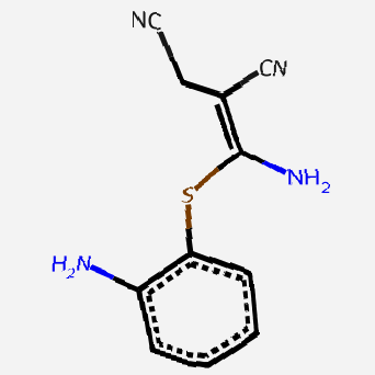 N#CCC(C#N)=C(N)Sc1ccccc1N